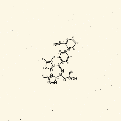 Cc1sc2c(c1C)C(c1ccc(-c3ccccc3C#N)cc1)=N[C@@H](CC(=O)O)c1nnc(C)n1-2